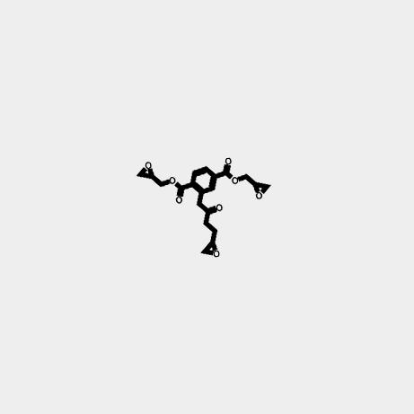 O=C(CCC1CO1)Cc1cc(C(=O)OCC2CO2)ccc1C(=O)OCC1CO1